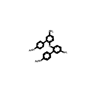 CC(=O)Nc1ccc(-c2cc(N)ccc2Oc2ccc(N)cc2-c2ccc(NC(C)=O)cc2)cc1